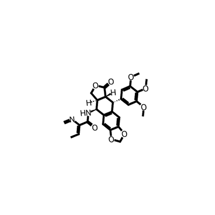 C=N/C(=C\C)C(=O)N[C@@H]1c2cc3c(cc2[C@@H](c2cc(OC)c(OC)c(OC)c2)[C@H]2C(=O)OC[C@@H]21)OCO3